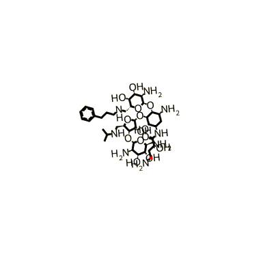 CC(C)NC[C@H]1O[C@@H](O[C@@H]2[C@@H](O)[C@H](NC(=O)[C@@H](O)CCN)C[C@H](N)[C@H]2O[C@H]2O[C@H](CNCCCc3ccccc3)[C@@H](O)[C@H](O)[C@H]2N)[C@H](O)[C@@H]1O[C@H]1O[C@@H](CN)[C@@H](O)[C@H](O)[C@H]1N